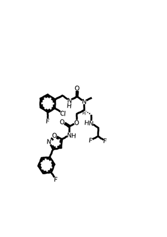 CN(C(=O)NCc1cccc(F)c1Cl)[C@H](CNCC(F)F)COC(=O)Nc1cc(-c2cccc(F)c2)no1